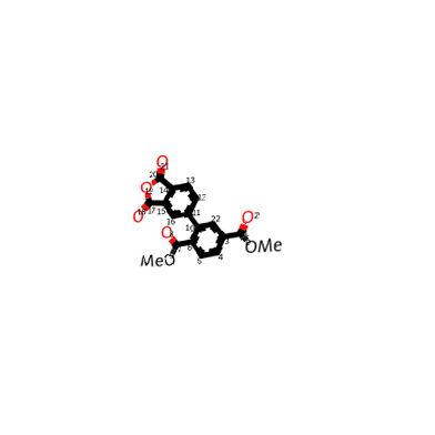 COC(=O)c1ccc(C(=O)OC)c(-c2ccc3c(c2)C(=O)OC3=O)c1